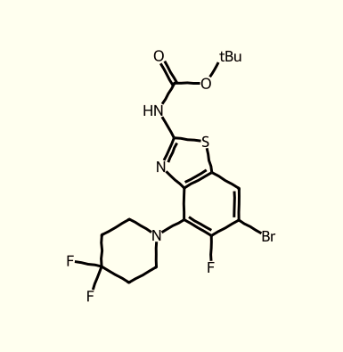 CC(C)(C)OC(=O)Nc1nc2c(N3CCC(F)(F)CC3)c(F)c(Br)cc2s1